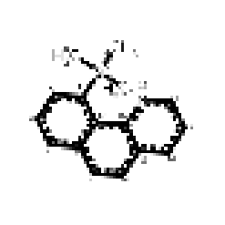 C[Si](C)(C)c1cccc2ccc3cccnc3c12